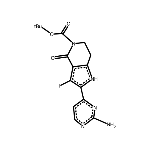 CC(C)(C)OC(=O)N1CCc2[nH]c(-c3ccnc(N)n3)c(I)c2C1=O